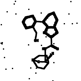 O=C(N[C@H]1CN2CCC1CC2)c1cc2cccc(-c3ccccc3CO)c2o1